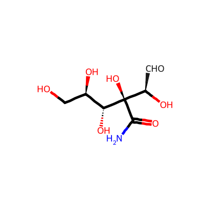 NC(=O)[C@@](O)([C@H](O)C=O)[C@H](O)[C@H](O)CO